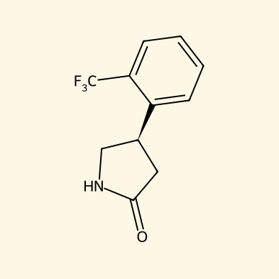 O=C1C[C@H](c2ccccc2C(F)(F)F)CN1